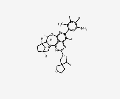 Cc1c(F)c(N)cc(-c2nc3c4c(nc(OCC5(C(F)F)CCOC5)nc4c2F)N2C[C@H]4CC[C@H](N4)[C@H]2[C@H](C)O3)c1C(F)(F)F